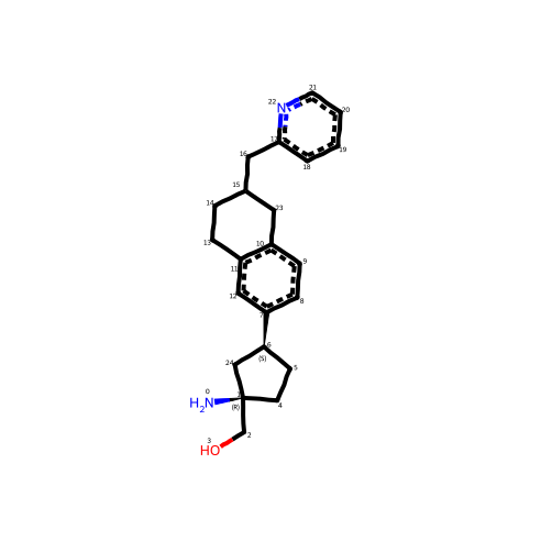 N[C@]1(CO)CC[C@H](c2ccc3c(c2)CCC(Cc2ccccn2)C3)C1